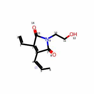 C=CC1=C(/C=C\C)C(=O)N(CCO)C1=O